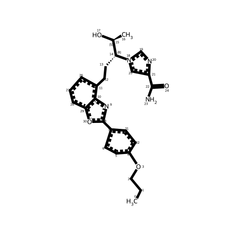 CCCOc1ccc(-c2nc3c(CC[C@H]([C@H](C)O)n4cnc(C(N)=O)c4)cccc3o2)cc1